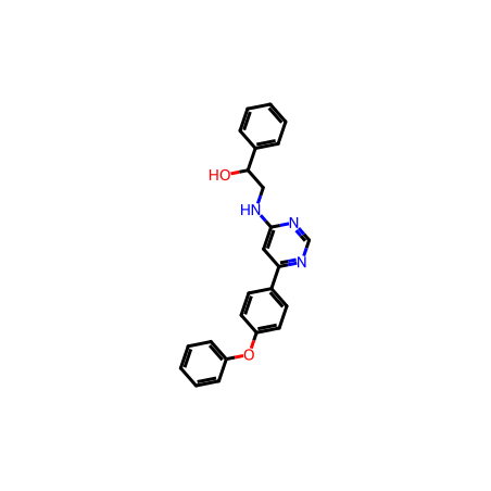 OC(CNc1cc(-c2ccc(Oc3ccccc3)cc2)ncn1)c1ccccc1